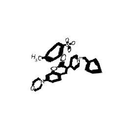 Cc1ccc(S(=O)(=O)[O-])cc1.O=c1oc2cc(N3CCOCC3)ccc2cc1-c1cc[n+](Cc2ccccc2)cc1